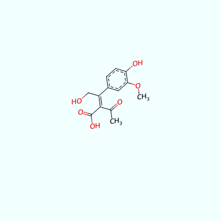 COc1cc(/C(CO)=C(\C(C)=O)C(=O)O)ccc1O